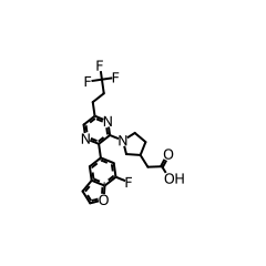 O=C(O)CC1CCN(c2nc(CCC(F)(F)F)cnc2-c2cc(F)c3occc3c2)C1